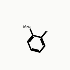 [CH2]c1ccccc1NC